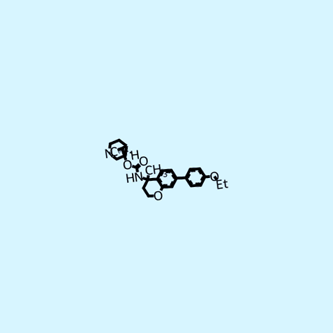 CCOc1ccc(-c2ccc3c(c2)OCCC3(C)NC(=O)O[C@H]2CN3CCC2CC3)cc1